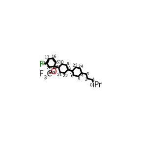 CC(C)CCCC1CCC(C2CCC(C3(OC(F)(F)F)C=CC=C(F)C3)CC2)CC1